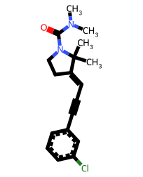 CN(C)C(=O)N1CC/C(=C\C#Cc2cccc(Cl)c2)C1(C)C